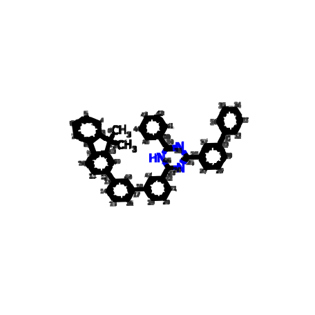 CC1(C)c2ccccc2-c2ccc(-c3cccc(-c4cccc(C5N=C(c6cccc(-c7ccccc7)c6)N=C(c6ccccc6)N5)c4)c3)cc21